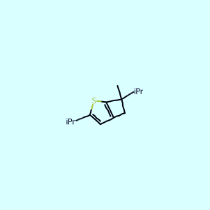 CC(C)c1cc2c(s1)C(C)(C(C)C)C2